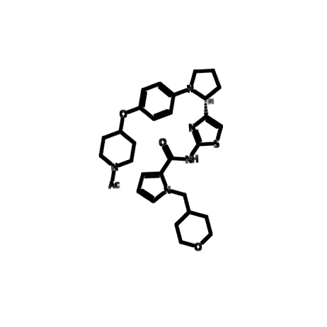 CC(=O)N1CCC(Oc2ccc(N3CCC[C@@H]3c3csc(NC(=O)c4cccn4CC4CCOCC4)n3)cc2)CC1